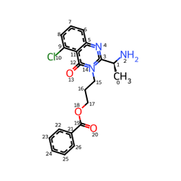 C[C@H](N)c1nc2cccc(Cl)c2c(=O)n1CCCOC(=O)c1ccccc1